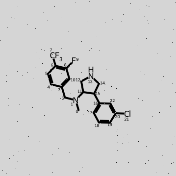 CN(Cc1ccc(C(F)(F)F)c(F)c1)C1CNCC1c1cccc(Cl)c1